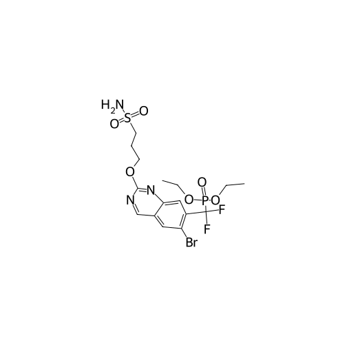 CCOP(=O)(OCC)C(F)(F)c1cc2nc(OCCCS(N)(=O)=O)ncc2cc1Br